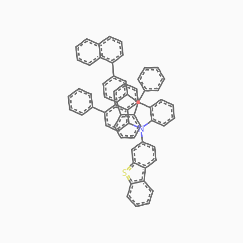 c1ccc(-c2ccc(N(c3ccc4c(c3)sc3ccccc34)c3ccccc3C3(c4ccccc4)c4ccccc4-c4ccc(-c5cccc6ccccc56)cc43)c3ccccc23)cc1